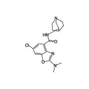 CN(C)c1nc2c(C(=O)NC3CN4CCC3CC4)cc(Cl)cc2o1